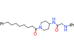 CC(C)CCCCCCCC(=O)N1CCC(NC(=O)CNC(C)C)CC1